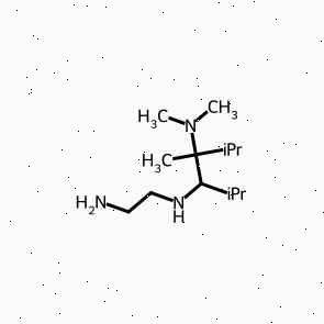 CC(C)C(NCCN)C(C)(C(C)C)N(C)C